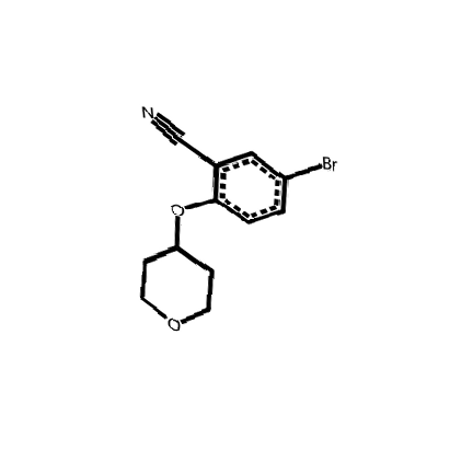 N#Cc1cc(Br)ccc1OC1CCOCC1